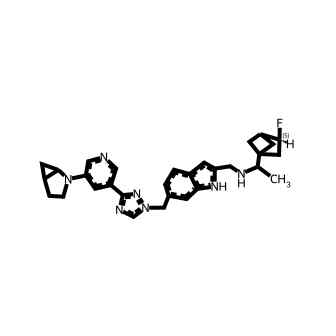 CC(NCc1cc2ccc(Cn3cnc(-c4cncc(N5CCC6CC65)c4)n3)cc2[nH]1)C12CC(C1)[C@@H](F)C2